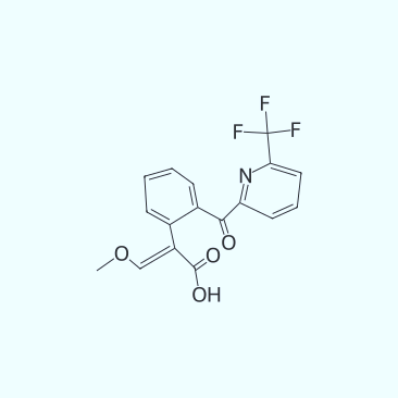 CO/C=C(/C(=O)O)c1ccccc1C(=O)c1cccc(C(F)(F)F)n1